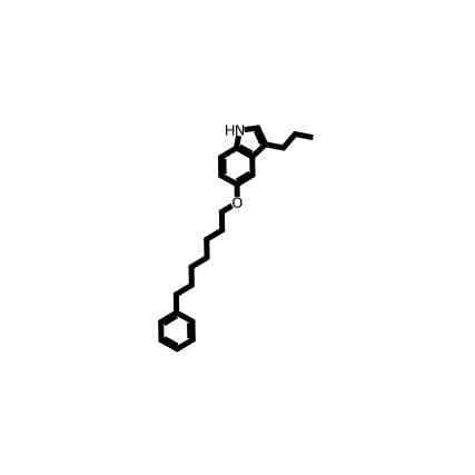 CCCc1c[nH]c2ccc(OCCCCCCCc3ccccc3)cc12